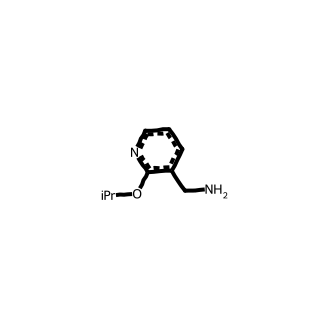 CC(C)Oc1ncccc1CN